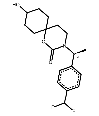 C[C@@H](c1ccc(C(F)F)cc1)N1CCC2(CCC(O)CC2)OC1=O